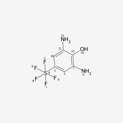 Nc1cc(S(F)(F)(F)(F)F)cc(N)c1O